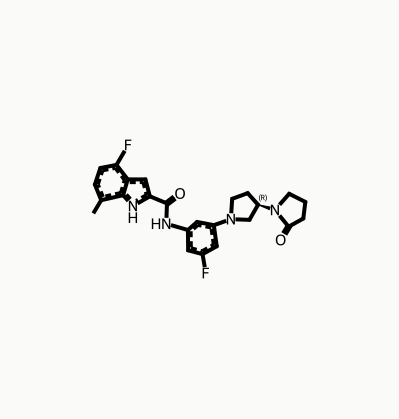 Cc1ccc(F)c2cc(C(=O)Nc3cc(F)cc(N4CC[C@@H](N5CCCC5=O)C4)c3)[nH]c12